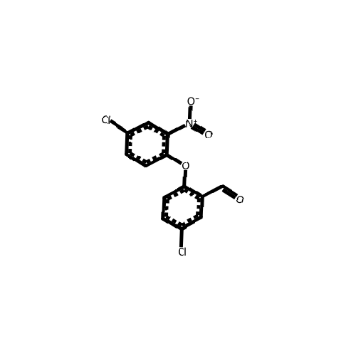 O=Cc1cc(Cl)ccc1Oc1ccc(Cl)cc1[N+](=O)[O-]